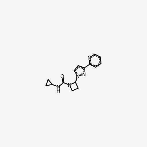 O=C(NC1CC1)N1CCC1n1ccc(-c2ccccn2)n1